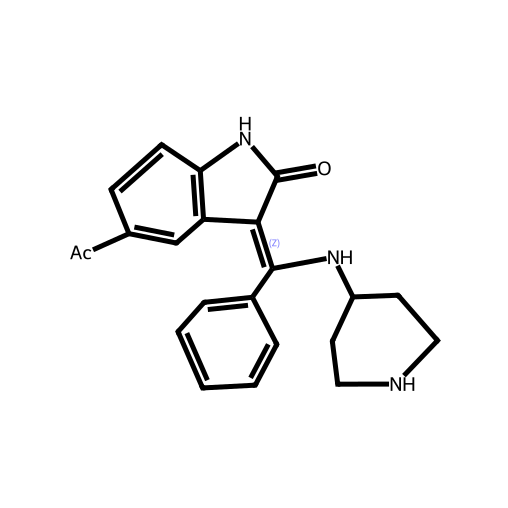 CC(=O)c1ccc2c(c1)/C(=C(/NC1CCNCC1)c1ccccc1)C(=O)N2